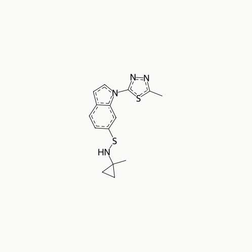 Cc1nnc(-n2ccc3ccc(SNC4(C)CC4)cc32)s1